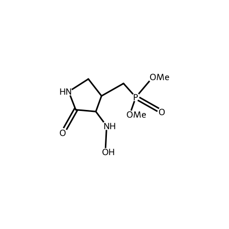 COP(=O)(CC1CNC(=O)C1NO)OC